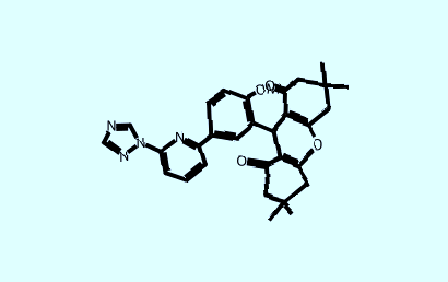 COc1ccc(-c2cccc(-n3cncn3)n2)cc1C1C2=C(CC(C)(C)CC2=O)OC2=C1C(=O)CC(C)(C)C2